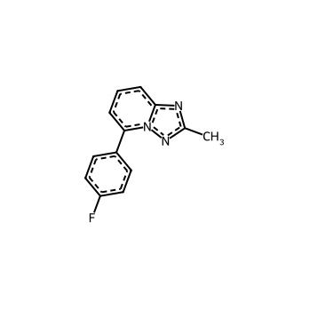 Cc1nc2cccc(-c3ccc(F)cc3)n2n1